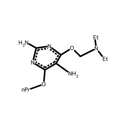 CCCOc1nc(N)nc(OCN(CC)CC)c1N